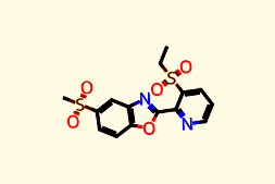 CCS(=O)(=O)c1cccnc1-c1nc2cc(S(C)(=O)=O)ccc2o1